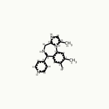 Cc1cc2c(cc1F)C(c1ccncc1)=NCc1ncc(C)n1-2